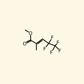 COC(=O)C(C)=CC(F)(F)C(F)(F)F